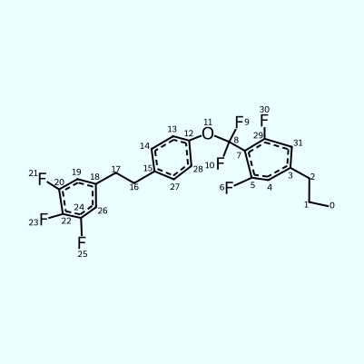 CCCc1cc(F)c(C(F)(F)Oc2ccc(CCc3cc(F)c(F)c(F)c3)cc2)c(F)c1